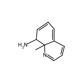 CC12N=CC=CC1=CC=CC2N